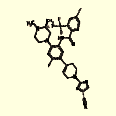 C[C@H]1CN(c2cc(F)c(C3=CCN(c4ncc(C#N)s4)CC3)cc2NC(=O)c2ccc(F)cc2C(F)(F)F)CCN1C